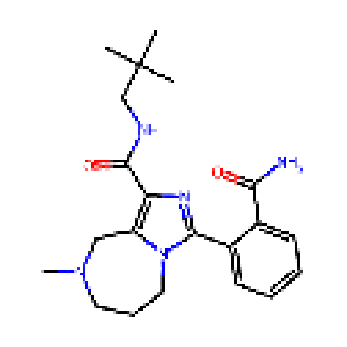 CN1CCCn2c(-c3ccccc3C(N)=O)nc(C(=O)NCC(C)(C)C)c2C1